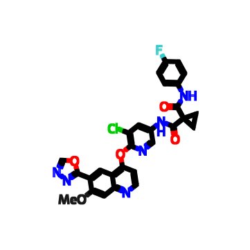 COc1cc2nccc(Oc3ncc(NC(=O)C4(C(=O)Nc5ccc(F)cc5)CC4)cc3Cl)c2cc1-c1nnco1